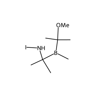 COC(C)(C)B(C)C(C)(C)NI